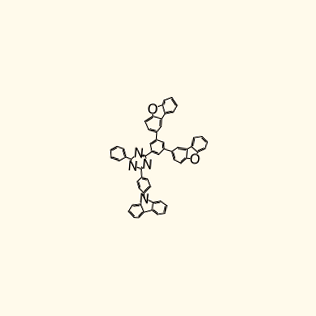 c1ccc(-c2nc(-c3ccc(-n4c5ccccc5c5ccccc54)cc3)nc(-c3cc(-c4ccc5oc6ccccc6c5c4)cc(-c4ccc5oc6ccccc6c5c4)c3)n2)cc1